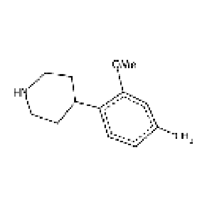 COc1cc(C)ccc1C1CCNCC1